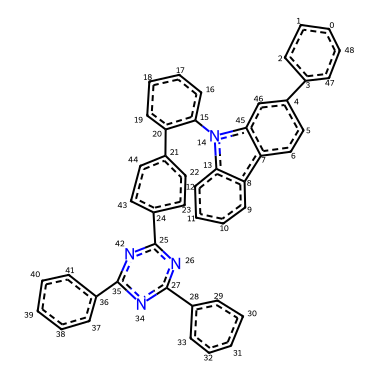 c1ccc(-c2ccc3c4ccccc4n(-c4ccccc4-c4ccc(-c5nc(-c6ccccc6)nc(-c6ccccc6)n5)cc4)c3c2)cc1